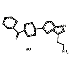 Cl.NCCc1c[nH]c2ccc(-c3ccc(C(=O)c4ccccc4)cc3)cc12